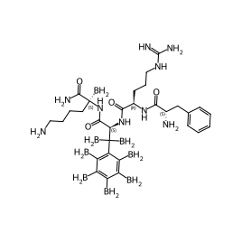 Bc1c(B)c(B)c(C(B)(B)[C@H](NC(=O)[C@@H](CCCNC(=N)N)NC(=O)[C@@H](N)Cc2ccccc2)C(=O)N[C@@](B)(CCCCN)C(N)=O)c(B)c1B